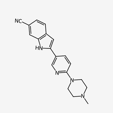 CN1CCN(c2ccc(-c3cc4ccc(C#N)cc4[nH]3)cn2)CC1